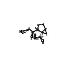 C=CC(=O)N1CCC2C[C@]21C(=O)O